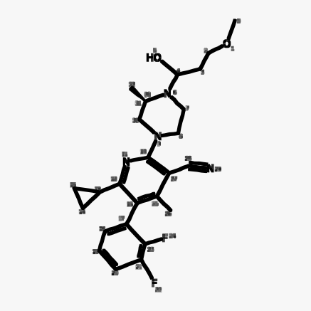 COCCC(O)N1CCN(c2nc(C3CC3)c(-c3cccc(F)c3F)c(C)c2C#N)C[C@H]1C